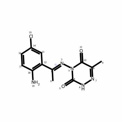 C/C(=N\n1c(=O)[nH]nc(C)c1=O)c1cc(Cl)ccc1N